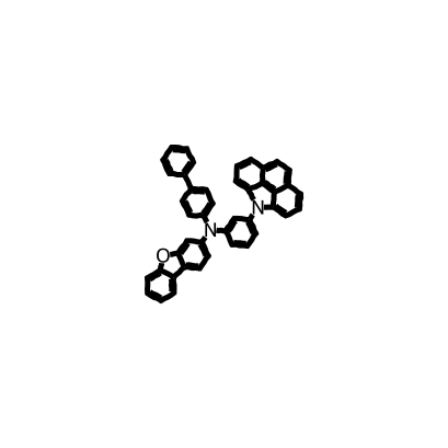 c1ccc(-c2ccc(N(c3cccc(-n4c5cccc6ccc7cccc4c7c65)c3)c3ccc4c(c3)oc3ccccc34)cc2)cc1